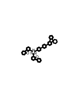 c1ccc2c(c1)-c1cc(-c3ccc(-c4ccc(-c5nc(-c6cccc7c6oc6ccccc67)nc(-c6cccc7c6oc6ccccc67)n5)cc4)cc3)ccc1C21CCCCC1